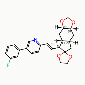 Fc1cccc(-c2ccc(/C=C/[C@H]3[C@@H]4C[C@@H]5OCO[C@@H]5C[C@H]4CC34OCCO4)nc2)c1